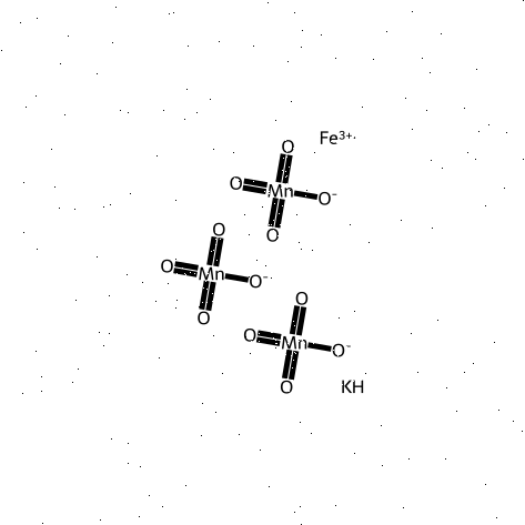 [Fe+3].[KH].[O]=[Mn](=[O])(=[O])[O-].[O]=[Mn](=[O])(=[O])[O-].[O]=[Mn](=[O])(=[O])[O-]